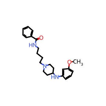 COc1cccc(NC2CCN(CCCCNC(=O)c3ccccc3)CC2)c1